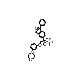 OC(COc1cccc(N2CCOCC2)c1)(c1ccc2c(cnn2-c2ccccc2)c1)C(F)(F)F